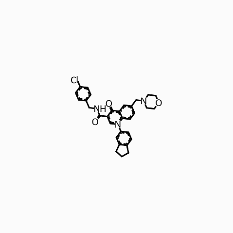 O=C(NCc1ccc(Cl)cc1)c1cn(-c2ccc3c(c2)CCC3)c2ccc(CN3CCOCC3)cc2c1=O